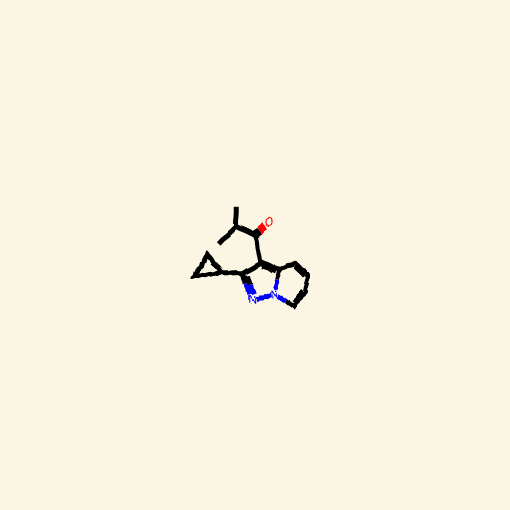 CC(C)C(=O)c1c(C2CC2)nn2ccccc12